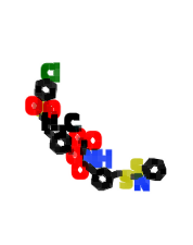 CCOC(=O)C(NC(=O)c1cccc(CSc2nc3ccccc3s2)c1)Oc1ccc(CCCS(=O)(=O)c2ccc(Cl)cc2)cc1